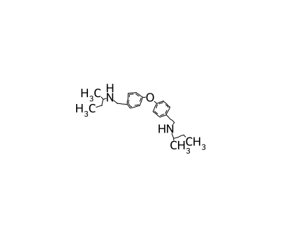 CCC(C)NCc1ccc(Oc2ccc(CNC(C)CC)cc2)cc1